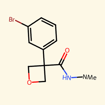 CNNC(=O)C1(c2cccc(Br)c2)COC1